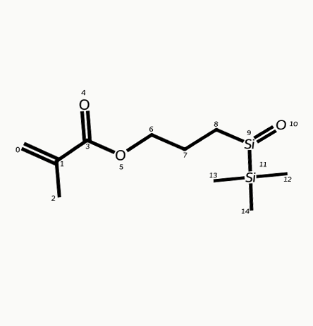 C=C(C)C(=O)OCCC[Si](=O)[Si](C)(C)C